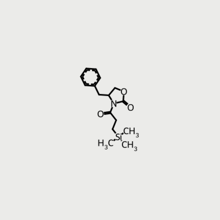 C[Si](C)(C)CCC(=O)N1C(=O)OCC1Cc1ccccc1